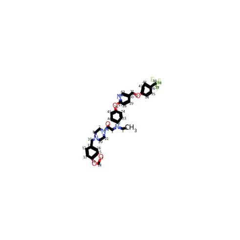 CCN(CC(=O)N1CCN(Cc2ccc3c(c2)OCO3)CC1)c1ccc(Oc2ccc(COc3ccc(C(F)(F)F)cc3)cn2)cc1